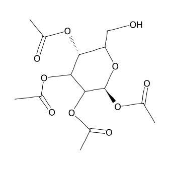 CC(=O)OC1C(OC(C)=O)[C@H](OC(C)=O)C(CO)O[C@H]1OC(C)=O